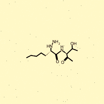 CCCCC[C@H](NN)C(=O)N[C@H](C(C)=O)C(C)O